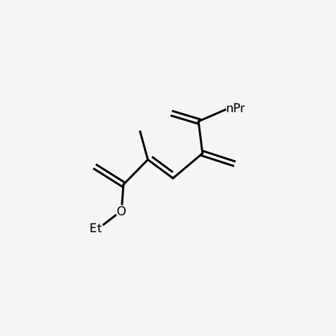 C=C(/C=C(\C)C(=C)OCC)C(=C)CCC